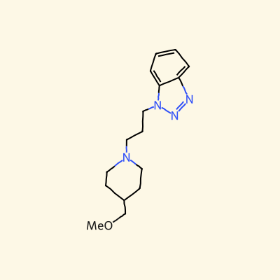 COCC1CCN(CCCn2nnc3ccccc32)CC1